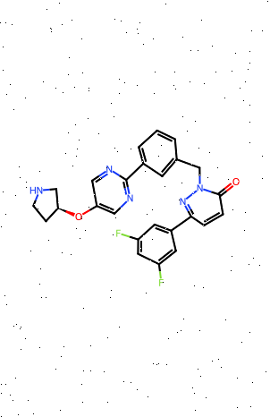 O=c1ccc(-c2cc(F)cc(F)c2)nn1Cc1cccc(-c2ncc(O[C@H]3CCNC3)cn2)c1